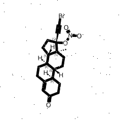 C[C@]12CC[C@H]3[C@@H](CCC4=CC(=O)CC[C@@H]43)[C@@H]1CC[C@]2(C#CBr)O[N+](=O)[O-]